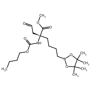 CCCCOC(=O)N[C@@](CC=O)(CCCCB1OC(C)(C)C(C)(C)O1)C(=O)OC